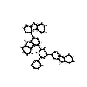 c1ccc(-c2nc(-c3ccc4c(c3)oc3ccccc34)nc(-c3ccc(-c4cccc5sc6ccccc6c45)c4oc5ccccc5c34)n2)cc1